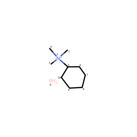 B.C[N+](C)(C)C1CCCCC1